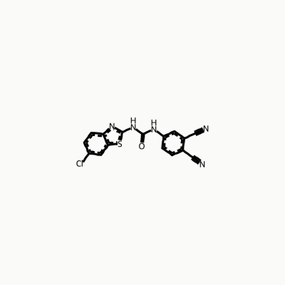 N#Cc1ccc(NC(=O)Nc2nc3ccc(Cl)cc3s2)cc1C#N